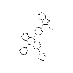 Cc1nc2ccccc2n1-c1ccc(-c2c3ccccc3c(-c3ccccc3)c3cc(-c4ccccc4)ccc23)cc1